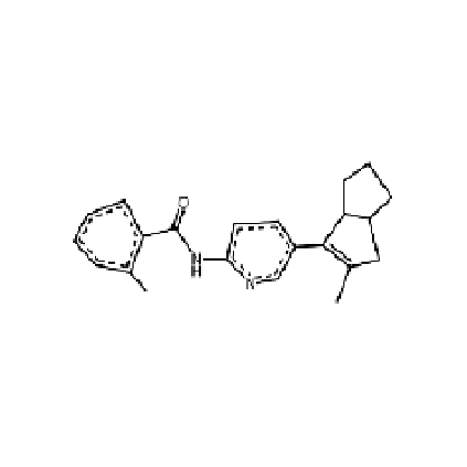 CC1=C(c2ccc(NC(=O)c3ccccc3C)nc2)C2CCCC2C1